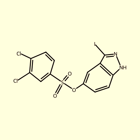 O=S(=O)(Oc1ccc2[nH]nc(I)c2c1)c1ccc(Cl)c(Cl)c1